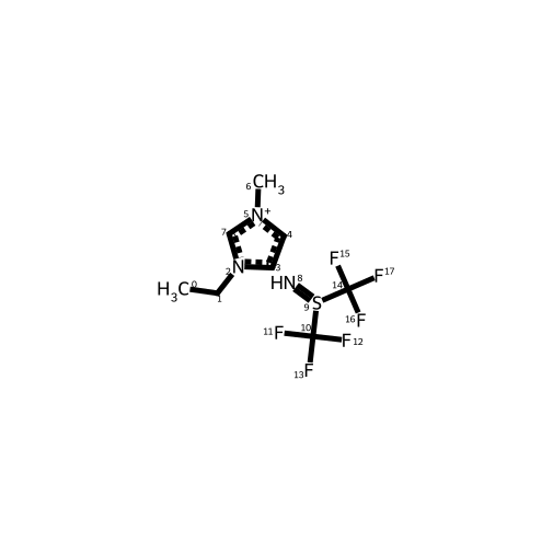 CCn1cc[n+](C)c1.N=S(C(F)(F)F)C(F)(F)F